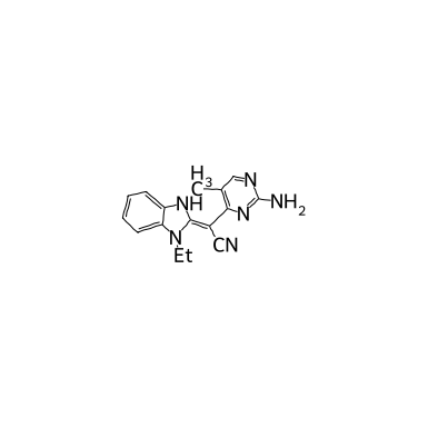 CCN1C(=C(C#N)c2nc(N)ncc2C)Nc2ccccc21